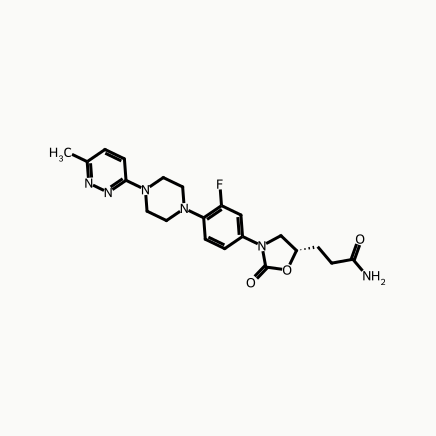 Cc1ccc(N2CCN(c3ccc(N4C[C@H](CCC(N)=O)OC4=O)cc3F)CC2)nn1